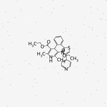 CCOC(=O)C1=C(C)NC(C)=C(C(=O)OCC)C1c1ccccc1-c1nc(-c2ccncc2)cs1